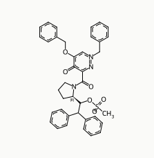 CS(=O)(=O)OC(C(c1ccccc1)c1ccccc1)[C@H]1CCCN1C(=O)c1nn(Cc2ccccc2)cc(OCc2ccccc2)c1=O